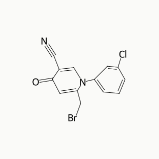 N#Cc1cn(-c2cccc(Cl)c2)c(CBr)cc1=O